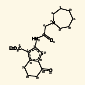 CCOC(=O)c1c(NC(=O)CN2CCCCCC2)sc2c1CCCC2=O